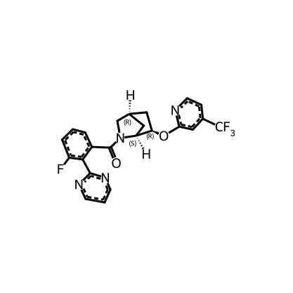 O=C(c1cccc(F)c1-c1ncccn1)N1C[C@H]2C[C@@H](Oc3cc(C(F)(F)F)ccn3)[C@@H]1C2